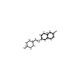 Cc1ccc2cc(OCC3CCC(C)CC3)ccc2c1